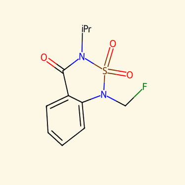 CC(C)N1C(=O)c2ccccc2N(CF)S1(=O)=O